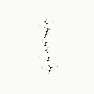 CC(C(F)(F)CF)C(C)(C)OC(F)(F)C(C)(C)OC(F)(F)C(F)(F)OC(C)(C)C(F)(F)OC(C)C(C)(C)C(F)(F)C(F)(F)OC(C)(C)C(C)(F)F